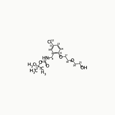 CC(C)(C)OC(=O)NCc1cc(Cl)ccc1OCCOCCO